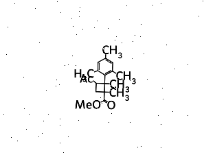 COC(=O)C1(C)CC(C(C)=O)C1(C)c1c(C)cc(C)cc1C